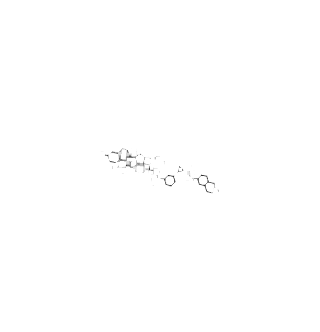 C[C@@H]1C[C@H]2[C@@H]3CCC4=CC(=O)C=C[C@]4(C)[C@@]3(F)[C@@H](O)C[C@]2(C)[C@@]1(O)C(=O)COC(=O)c1cccc([C@@H]2C[C@H]2C(=O)Nc2ccc3cnccc3c2)c1